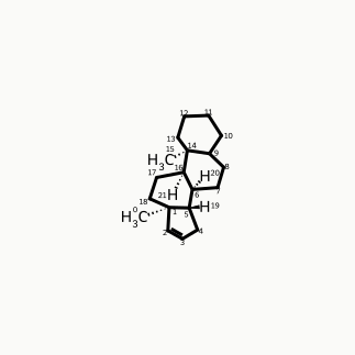 C[C@@]12C=CC[C@H]1[C@@H]1CCC3CCCC[C@]3(C)[C@@H]1CC2